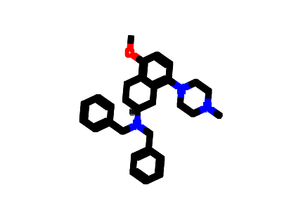 COc1ccc(N2CCN(C)CC2)c2c1CC[C@H](N(Cc1ccccc1)Cc1ccccc1)C2